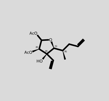 C=CC[C@@H](C)[C@@H]1OC(OC(C)=O)[C@H](OC(C)=O)[C@@]1(O)C=C